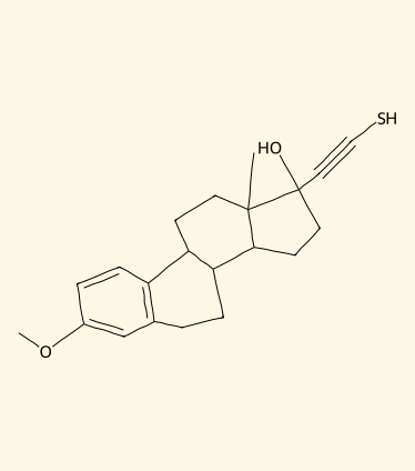 COc1ccc2c(c1)CCC1C2CCC2(C)C1CCC2(O)C#CS